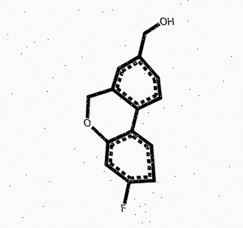 OCc1ccc2c(c1)COc1cc(F)ccc1-2